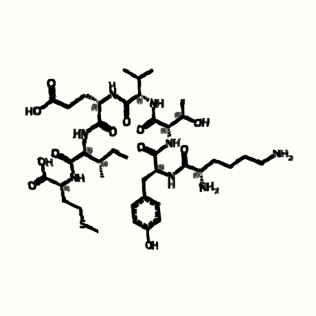 CC[C@H](C)[C@H](NC(=O)[C@H](CCC(=O)O)NC(=O)[C@@H](NC(=O)[C@@H](NC(=O)[C@H](Cc1ccc(O)cc1)NC(=O)[C@@H](N)CCCCN)[C@@H](C)O)C(C)C)C(=O)N[C@@H](CCSC)C(=O)O